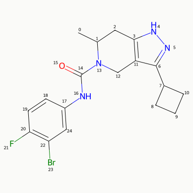 CC1Cc2[nH]nc(C3CCC3)c2CN1C(=O)Nc1ccc(F)c(Br)c1